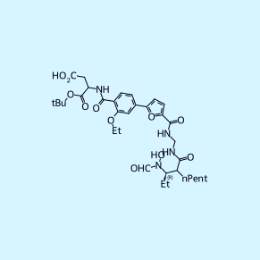 CCCCCC(C(=O)NCNC(=O)c1ccc(-c2ccc(C(=O)NC(CC(=O)O)C(=O)OC(C)(C)C)c(OCC)c2)o1)[C@@H](CC)N(O)C=O